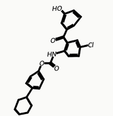 O=C(Nc1ccc(Cl)cc1C(=O)c1cccc(O)c1)Oc1ccc(C2CCCCC2)cc1